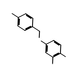 O=C(O)c1cc(OCc2ccc(Cl)cc2)ccc1O